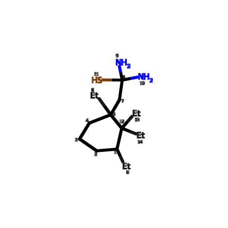 CCC1CCCC(CC)(CC(N)(N)S)C1(CC)CC